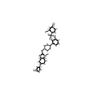 Cn1c(CN2CCC(c3cccc4c3OC(C)(c3ccc(Cl)cc3F)O4)CC2)nc2cc(-c3cn[nH]c3)ccc21